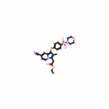 CCOC(=O)Cc1c(C)c(Sc2ccc(S(=O)(=O)N3CCOCC3)cc2)c2cc(C#N)ccn12